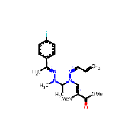 C=C/C=N\N(/C=C(\NC)C(=O)OC)C(C)N(C)/N=C(\C)c1ccc(F)cc1